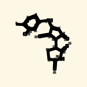 Cc1ccc(NC2=CC(=O)N(C3CCC(=O)NC3=O)C2=O)cc1Cl